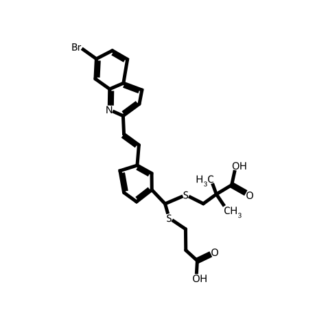 CC(C)(CSC(SCCC(=O)O)c1cccc(/C=C/c2ccc3ccc(Br)cc3n2)c1)C(=O)O